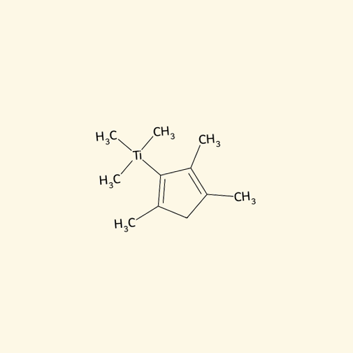 CC1=C(C)[C]([Ti]([CH3])([CH3])[CH3])=C(C)C1